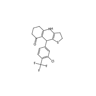 O=C1CCCC2=C1C(c1ccc(C(F)(F)F)c(Cl)c1)C1=C(CCS1)N2